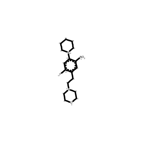 O=[N+]([O-])c1cc(CCN2CCOCC2)c(F)cc1N1CCCCC1